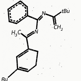 C=C(/N=C(\N=C(/C)C1=CC(C(C)(C)C)=CCC1)c1ccccc1)C(C)(C)C